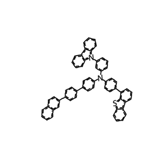 c1cc(N(c2ccc(-c3ccc(-c4ccc5ccccc5c4)cc3)cc2)c2ccc(-c3cccc4c3sc3ccccc34)cc2)cc(-n2c3ccccc3c3ccccc32)c1